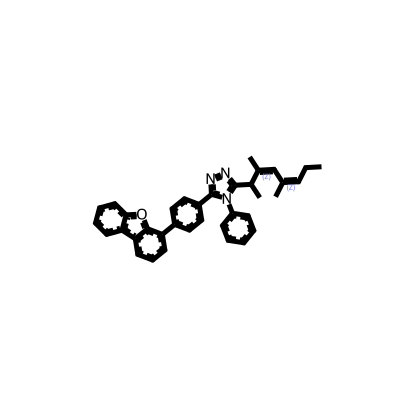 CC/C=C(C)\C=C(\C)C(C)c1nnc(-c2ccc(-c3cccc4c3oc3ccccc34)cc2)n1-c1ccccc1